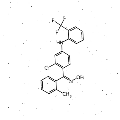 Cc1ccccc1C(=NO)c1ccc(Nc2ccccc2C(F)(F)F)cc1Cl